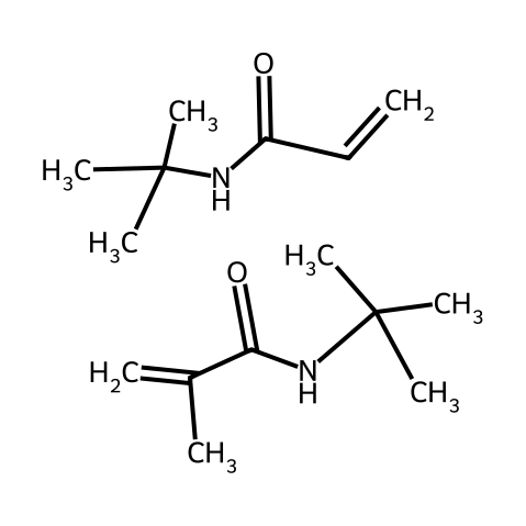 C=C(C)C(=O)NC(C)(C)C.C=CC(=O)NC(C)(C)C